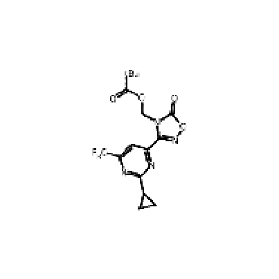 CC(C)(C)C(=O)OCn1c(-c2cc(C(F)(F)F)nc(C3CC3)n2)noc1=O